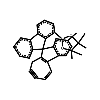 Cc1ccc2c(c1)C1(C3=C2C=CC#CC3)c2ccccc2-c2cccc(B3OC(C)(C)C(C)(C)O3)c21